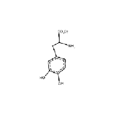 CCOC(=O)C(N)Cc1ccc(O)c(O)c1